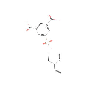 C=CC(C=C)CC.O=C(O)c1cc(C(=O)O)cc(S(=O)(=O)O)c1